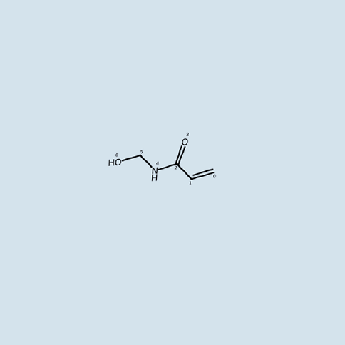 C=CC(=O)NCO